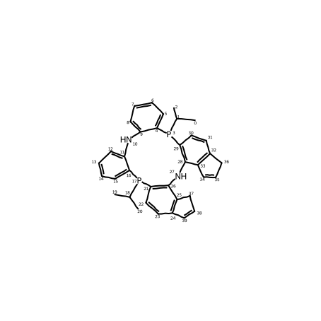 CC(C)P1c2ccccc2Nc2ccccc2P(C(C)C)c2ccc3c(c2Nc2c1ccc1c2C=CC1)CC=C3